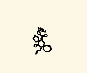 C=CCN1C(=O)C2(CCCC2)N(C(=O)OC(C)(C)C)CC12CCCCCC2